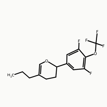 CCCC1=COC(c2cc(F)c(OC(F)(F)F)c(F)c2)CC1